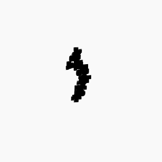 CC(C(=O)Nc1cc(C2CC2)n(C(=O)OC(C)(C)C)n1)c1ccc(CNC(=O)OC(C)(C)C)cc1